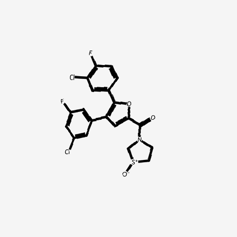 O=C(c1cc(-c2cc(F)cc(Cl)c2)c(-c2ccc(F)c(Cl)c2)o1)N1CC[S+]([O-])C1